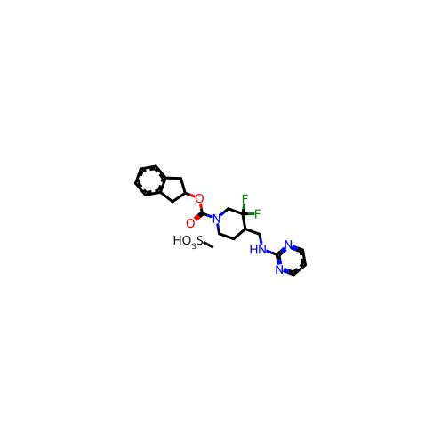 CS(=O)(=O)O.O=C(OC1Cc2ccccc2C1)N1CCC(CNc2ncccn2)C(F)(F)C1